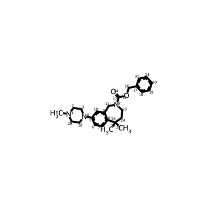 CN1CCN(c2ccc3c(c2)CN(C(=O)OCc2ccccc2)CCC3(C)C)CC1